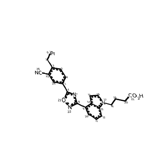 CC(C)Cc1ccc(-c2nc(-c3cccc4c3ccn4CCCC(=O)O)no2)cc1C#N